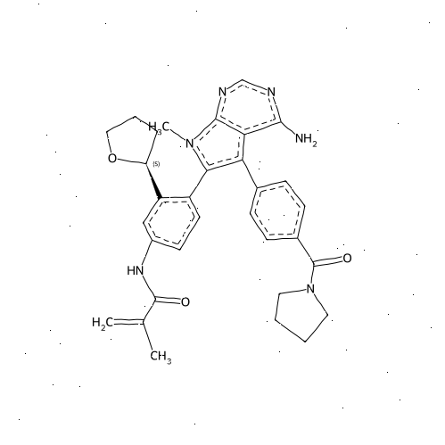 C=C(C)C(=O)Nc1ccc(-c2c(-c3ccc(C(=O)N4CCCC4)cc3)c3c(N)ncnc3n2C)c([C@@H]2CCCO2)c1